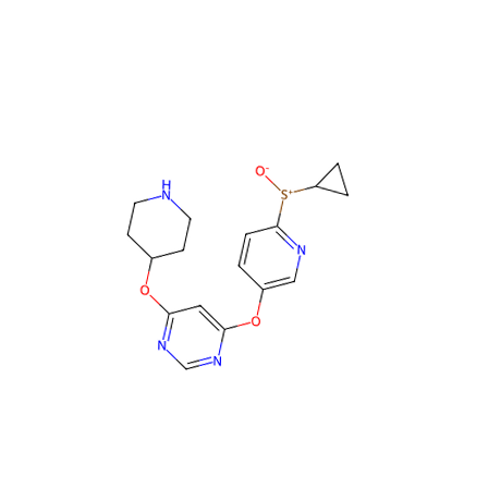 [O-][S+](c1ccc(Oc2cc(OC3CCNCC3)ncn2)cn1)C1CC1